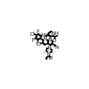 C=CC(=O)N1[C@H](C)CN(c2c(C#N)c(=O)n(C3=C(C)C=CNC3C(C)C)c3nc(-c4c(N)c(F)c(Cl)c(F)c4F)c(Cl)cc23)C[C@@H]1C